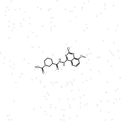 COc1cccc2c(NNC(=O)C3CCCN(C(=O)O)C3)nc(Cl)nc12